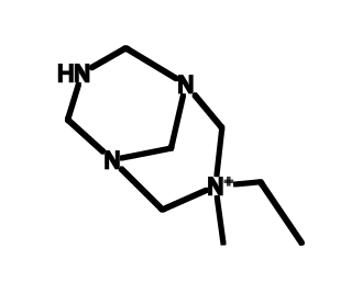 CC[N+]1(C)CN2CNCN(C2)C1